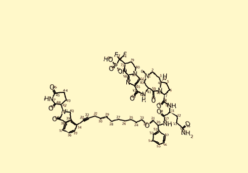 CN1CC[C@H]2CC[C@@H](C(=O)N[C@@H](CCC(N)=O)C(=O)NC(COCCCCCCCCCC#Cc3cccc4c3CN(C3CCC(=O)NC3=O)C4=O)c3ccccc3)N2C(=O)[C@@H](NC(=O)c2cn3c(n2)CC(C(F)(F)P(=O)(O)O)CC3)C1